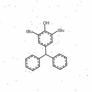 CC(C)(C)c1cc(C(c2ccccc2)c2ccccc2)cc(C(C)(C)C)c1O